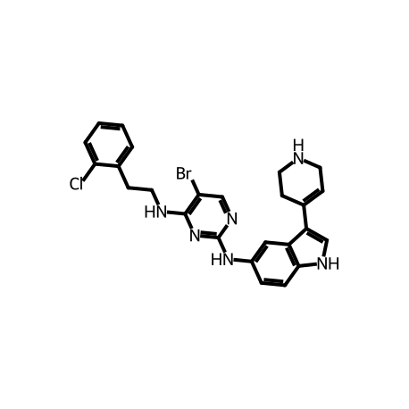 Clc1ccccc1CCNc1nc(Nc2ccc3[nH]cc(C4=CCNCC4)c3c2)ncc1Br